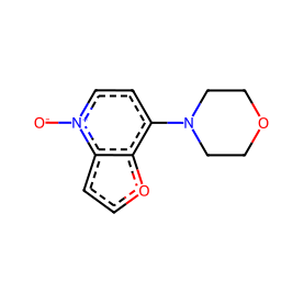 [O-][n+]1ccc(N2CCOCC2)c2occc21